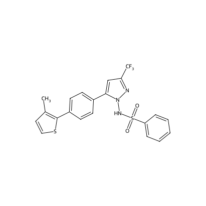 Cc1ccsc1-c1ccc(-c2cc(C(F)(F)F)nn2NS(=O)(=O)c2ccccc2)cc1